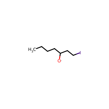 CCCCC([O])CCI